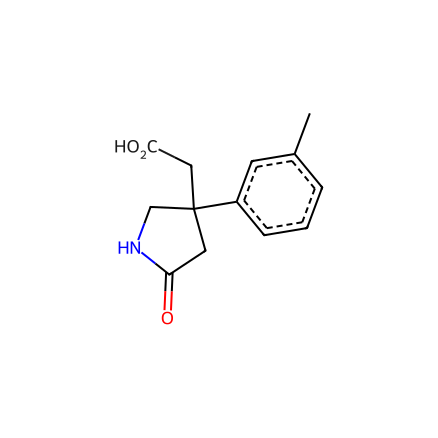 Cc1cccc(C2(CC(=O)O)CNC(=O)C2)c1